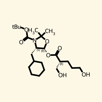 CC(C)(C)OC(=O)N1[C@@H](CC2CCCCC2)[C@@H](OC(=O)[C@@H](CO)CCCO)OC1(C)C